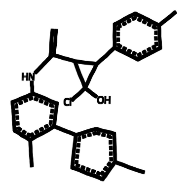 C=C(Nc1ccc(C)c(-c2ccc(C)cc2)c1)C1C(c2ccc(C)cc2)C1(O)Cl